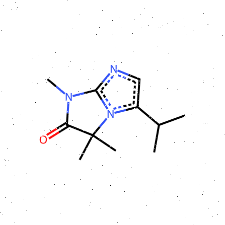 CC(C)c1cnc2n1C(C)(C)C(=O)N2C